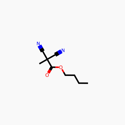 CCCCOC(=O)C(C)(C#N)C#N